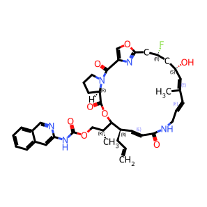 C=CC[C@@H]1/C=C/C(=O)NC/C=C/C(C)=C/[C@@H](O)C[C@@H](F)Cc2nc(co2)C(=O)N2CCC[C@@H]2C(=O)OC1[C@H](C)COC(=O)Nc1cc2ccccc2cn1